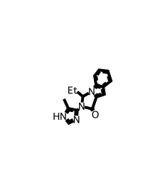 CCC1N(c2nc[nH]c2C)C(=O)c2cc3ccccc3n21